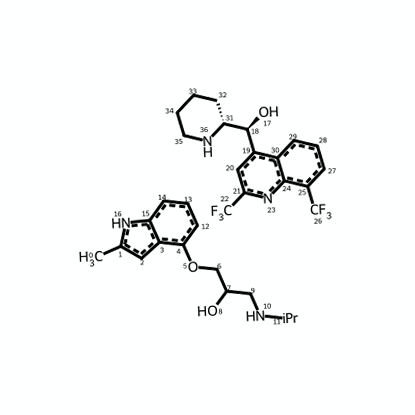 Cc1cc2c(OCC(O)CNC(C)C)cccc2[nH]1.O[C@@H](c1cc(C(F)(F)F)nc2c(C(F)(F)F)cccc12)[C@H]1CCCCN1